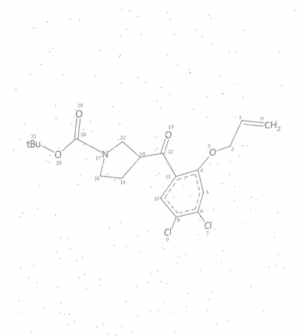 C=CCOc1cc(Cl)c(Cl)cc1C(=O)C1CCN(C(=O)OC(C)(C)C)C1